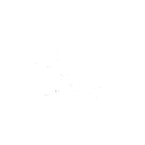 Cl.Cl.c1ccc(CCCN2CCN(CCc3ccccc3Oc3ccccc3)CC2)cc1